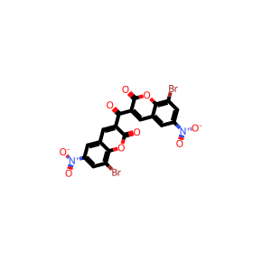 O=C(c1cc2cc([N+](=O)[O-])cc(Br)c2oc1=O)c1cc2cc([N+](=O)[O-])cc(Br)c2oc1=O